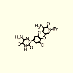 CC(C)n1cc(Oc2c(Cl)cc(-n3nc(N)c(=O)[nH]c3=O)cc2Cl)cc(P)c1=O